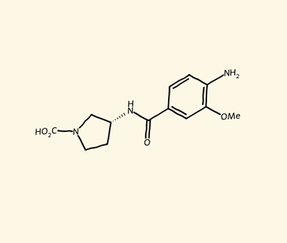 COc1cc(C(=O)N[C@@H]2CCN(C(=O)O)C2)ccc1N